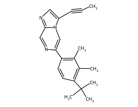 CC#Cc1cnc2cnc(-c3ccc(C(C)(C)C)c(C)c3C)cn12